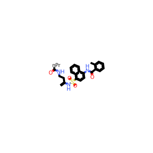 C=C(CCNC(=O)CCC)NS(=O)(=O)c1ccc(NC(=O)c2ccccc2C)c2ccccc12